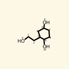 OCCC1CC(O)CCC1O